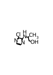 CC(CO)Nc1nccnc1Cl